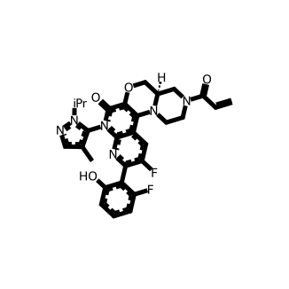 C=CC(=O)N1CCN2c3c(c(=O)n(-c4c(C)cnn4C(C)C)c4nc(-c5c(O)cccc5F)c(F)cc34)OC[C@H]2C1